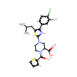 CC(C)Cc1sc(N2CCN(C(=O)c3cccs3)C(C(=O)O)C2)nc1-c1ccc(Cl)c(Cl)c1